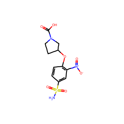 NS(=O)(=O)c1ccc(OC2CCN(C(=O)O)C2)c([N+](=O)[O-])c1